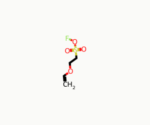 C=COCCS(=O)(=O)OF